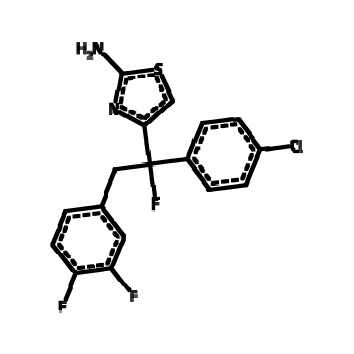 Nc1nc(C(F)(Cc2ccc(F)c(F)c2)c2ccc(Cl)cc2)cs1